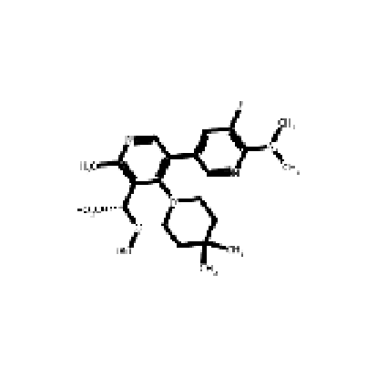 Cc1ncc(-c2cnc(N(C)C)c(F)c2)c(N2CCC(C)(C)CC2)c1[C@H](OC(C)(C)C)C(=O)O